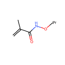 C=C(C)C(=O)NOC(C)C